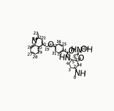 CN[C@H]1CC[C@@](CC(=O)NO)(NC(=O)c2ccc(OCc3cc(C)nc4ccccc34)cc2)CC1